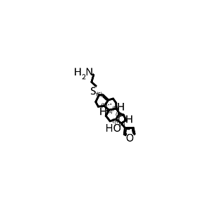 C[C@]12CC[C@H]3[C@@H](CCC4=C[C@@H](SCCCN)CC[C@@]43C)[C@@]1(O)CC[C@]2(O)c1ccoc1